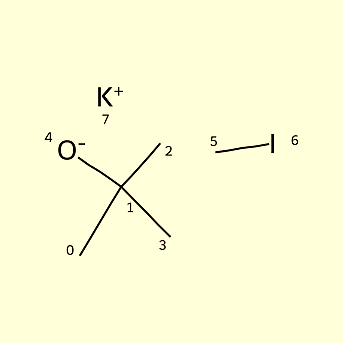 CC(C)(C)[O-].CI.[K+]